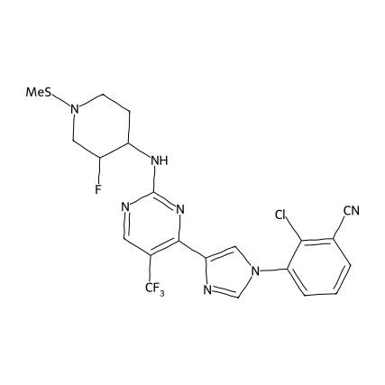 CSN1CCC(Nc2ncc(C(F)(F)F)c(-c3cn(-c4cccc(C#N)c4Cl)cn3)n2)C(F)C1